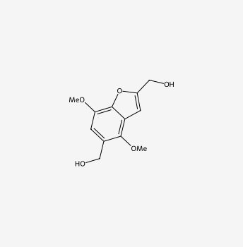 COc1c(CO)cc(OC)c2oc(CO)cc12